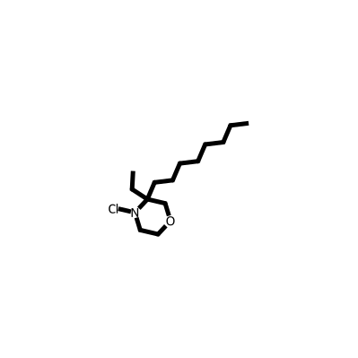 CCCCCCCCC1(CC)COCCN1Cl